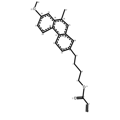 C=CC(=O)OCCCCc1ccc2c(c1)cc(C)c1cc(OC)ccc12